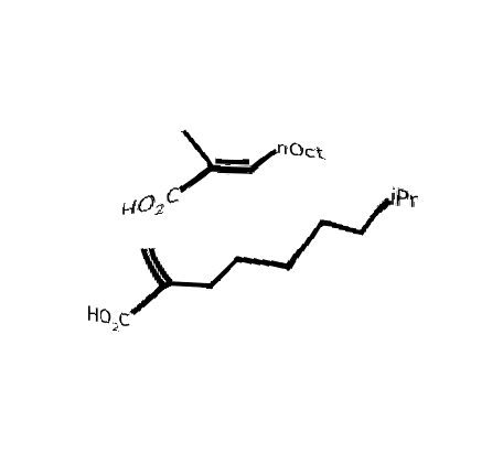 C=C(CCCCCC(C)C)C(=O)O.CCCCCCCCC=C(C)C(=O)O